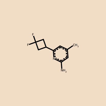 Cc1cc(N)nc(C2CC(F)(F)C2)c1